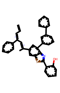 C=C/C=C(\C=C(/C)c1cc(-c2cccc(-c3ccccc3)c2)c2nc(-c3ccccc3O)sc2c1)c1ccccc1